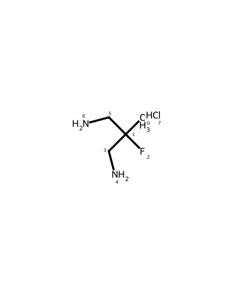 CC(F)(CN)CN.Cl